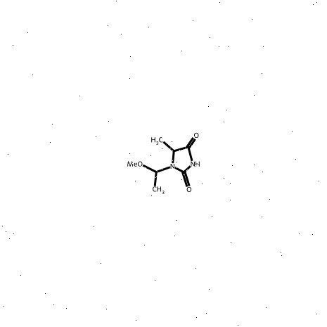 COC(C)N1C(=O)NC(=O)C1C